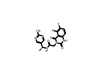 C[C@H](NC(=O)Cn1c(=O)[nH]c2ccc(F)c(F)c2c1=O)c1cnc(C#N)nc1